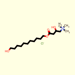 C[N+](C)(C)CC(O)CC(=O)OCCCCCCCCCCCO.[Cl-]